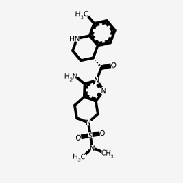 Cc1cccc2c1NCC[C@H]2C(=O)n1nc2c(c1N)CCN(S(=O)(=O)N(C)C)C2